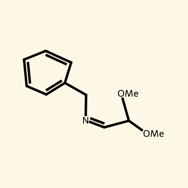 COC(/C=N\Cc1ccccc1)OC